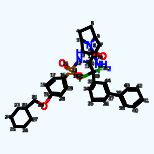 NC1CC2CCC(C1)N2C(=O)[C@@H](NS(=O)(=O)c1ccc(OCC2CCCCC2)cc1)C(F)(F)c1cccc(-c2ccccc2)c1